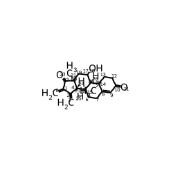 C=C1C(=C)[C@H]2[C@@H]3CCC4=CC(=O)CC[C@]4(C)[C@@H]3C(O)C[C@]2(C)C1=O